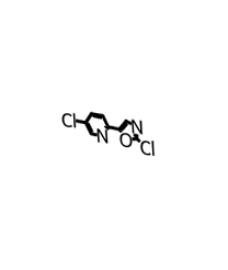 Clc1ccc(-c2cnc(Cl)o2)nc1